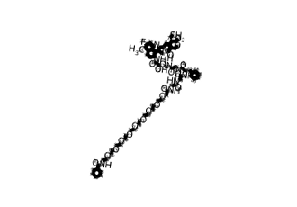 CC[C@H]1C(=O)OCc2c1cc1n(c2=O)Cc2c-1nc1cc(F)c(C)c3c1c2[C@@H](NC(=O)[C@@H](O)OCNC(=O)CNC(=O)[C@H](Cc1ccccc1)NC(=O)CNC(=O)CNC(=O)COCCOCCOCCOCCOCCOCCOCCOCCOCCNC(=O)C1CCCCC1)CC3